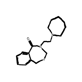 O=C1c2ccccc2CSCN1CCN1CCCCCC1